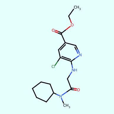 CCOC(=O)c1cnc(NCC(=O)N(C)C2CCCCC2)c(Cl)c1